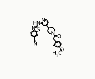 COc1ccc(CC(=O)N2CCC(c3ccnc(Nc4nc5ccc(C#N)cc5s4)c3)CC2)cc1